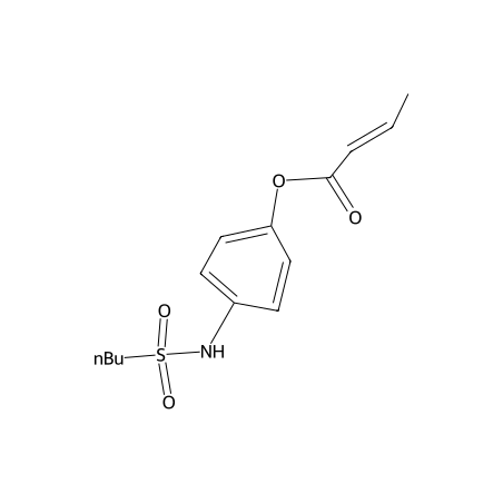 CC=CC(=O)Oc1ccc(NS(=O)(=O)CCCC)cc1